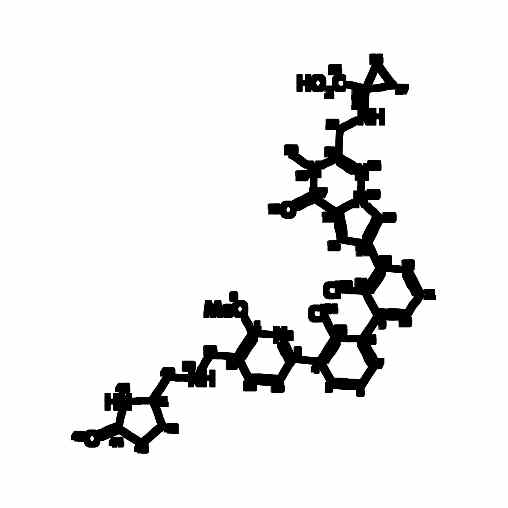 COc1nc(-c2cccc(-c3cccc(-c4cc5c(=O)n(C)c(CNC6(C(=O)O)CC6)nn5c4)c3Cl)c2Cl)ccc1CNCC1CCC(=O)N1